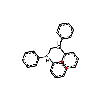 c1ccc([SiH](C[SiH](c2ccccc2)c2ccccc2)c2ccccc2)cc1